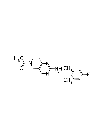 CC(=O)N1CCc2nc(NCC(C)(C)c3ccc(F)cc3)ncc2C1